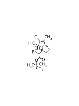 CN1C(=O)C(C)(C)c2c(C(Br)C(=O)OC(C)(C)C)cccc21